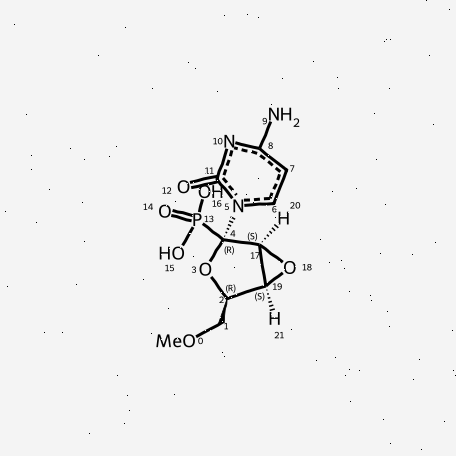 COC[C@H]1O[C@@](n2ccc(N)nc2=O)(P(=O)(O)O)[C@H]2O[C@@H]12